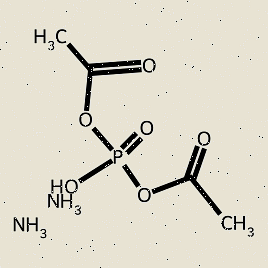 CC(=O)OP(=O)(O)OC(C)=O.N.N